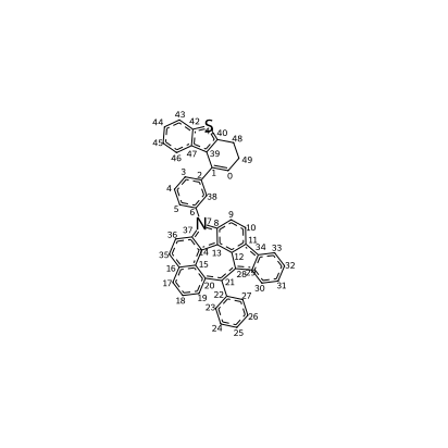 C1=C(c2cccc(-n3c4ccc5c6c4c4c7c(cccc7c(-c7ccccc7)c-6c6ccccc65)ccc43)c2)c2c(sc3ccccc23)CC1